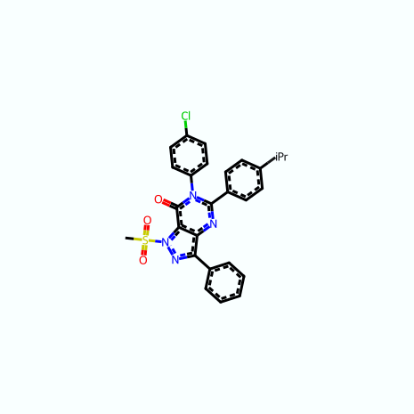 CC(C)c1ccc(-c2nc3c(-c4ccccc4)nn(S(C)(=O)=O)c3c(=O)n2-c2ccc(Cl)cc2)cc1